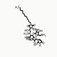 CCCCCCCCCCCCN1C(=O)[C@H]([C@@H](O)CN(C)[C@H](C(=O)NC)[C@H](OC2OC(CN)C(O)C2O)C2OC(n3ccc(=O)[nH]c3=O)C(O)C2O)N(C)C1=O